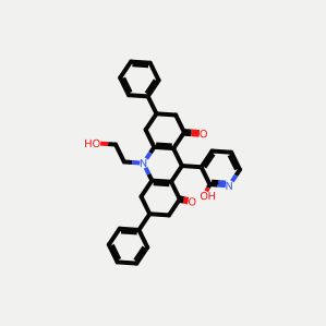 O=C1CC(c2ccccc2)CC2=C1C(c1cccnc1O)C1=C(CC(c3ccccc3)CC1=O)N2CCO